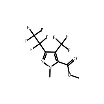 COC(=O)c1c(C(F)(F)F)c(C(F)(F)C(F)(F)F)nn1C